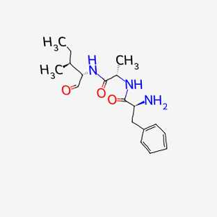 CC[C@H](C)[C@@H](C=O)NC(=O)[C@H](C)NC(=O)[C@@H](N)Cc1ccccc1